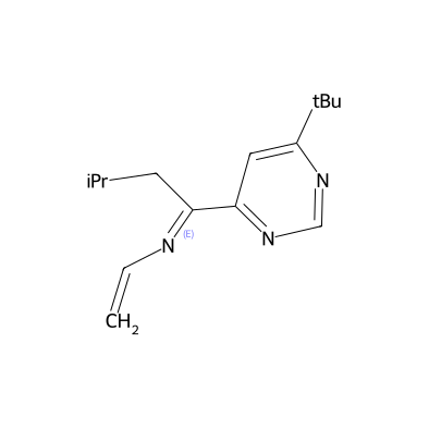 C=C/N=C(\CC(C)C)c1cc(C(C)(C)C)ncn1